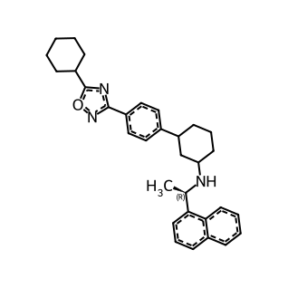 C[C@@H](NC1CCCC(c2ccc(-c3noc(C4CCCCC4)n3)cc2)C1)c1cccc2ccccc12